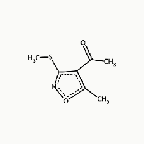 CSc1noc(C)c1C(C)=O